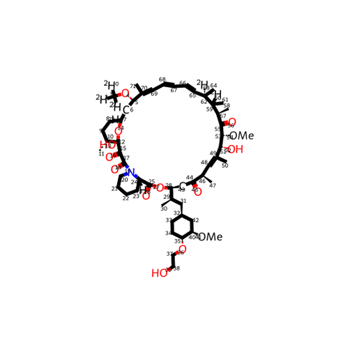 [2H]C([2H])([2H])O[C@H]1C[C@@H]2CC[C@@H](C)[C@@](O)(O2)C(=O)C(=O)N2CCCC[C@H]2C(=O)O[C@H]([C@H](C)C[C@@H]2CC[C@@H](OCCO)[C@H](OC)C2)CC(=O)[C@H](C)/C=C(\C)[C@@H](O)[C@@H](OC)C(=O)[C@H](C)C([2H])(C)[C@]([2H])(C)/C=C/C=C/C=C/1C